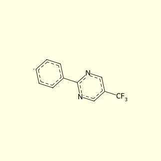 FC(F)(F)c1cnc(-c2cc[c]cc2)nc1